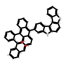 c1ccc(-c2c3ccccc3c(-c3ccc4c(c3)oc3ccc5oc6ccccc6c5c34)c3ccccc23)c(-c2cccc3ccccc23)c1